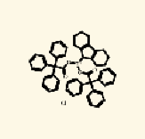 O=C([O][Ti+]([O]C(=O)C(c1ccccc1)(c1ccccc1)c1ccccc1)[CH]1C2=C(CCCC2)C2=C1CCCC2)C(c1ccccc1)(c1ccccc1)c1ccccc1.[Cl-]